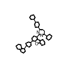 C1=C(c2ccc(-c3ccccc3)cc2)N=C(c2ccc(-c3ccc(-c4cccc5ccccc45)cc3)c3oc4ccccc4c23)N=C(c2ccccc2)C1